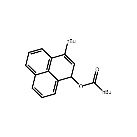 CCCCC(=O)OC1C=C(CCCC)c2cccc3cccc1c23